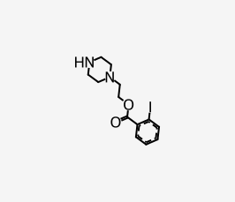 O=C(OCCN1CCNCC1)c1ccccc1I